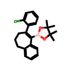 CC1(C)OB(C2=C(c3ccccc3Cl)CCCc3ccccc32)OC1(C)C